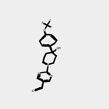 O=Cc1cnc(N2CCC(O)(c3ccc(OC(F)(F)F)cc3)CC2)nc1